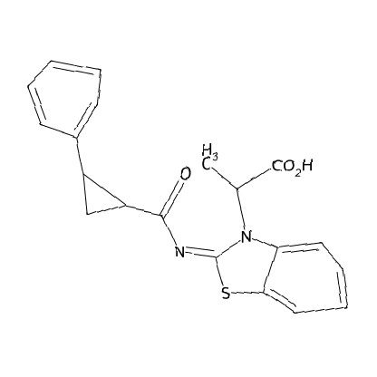 CC(C(=O)O)n1/c(=N\C(=O)C2CC2c2ccccc2)sc2ccccc21